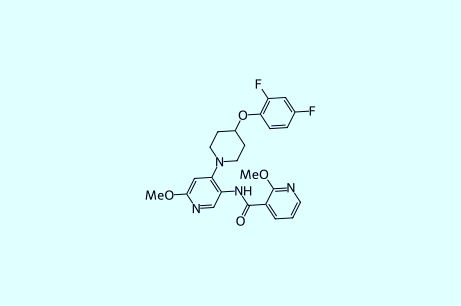 COc1cc(N2CCC(Oc3ccc(F)cc3F)CC2)c(NC(=O)c2cccnc2OC)cn1